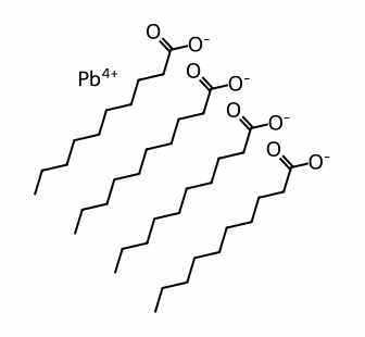 CCCCCCCCCC(=O)[O-].CCCCCCCCCC(=O)[O-].CCCCCCCCCC(=O)[O-].CCCCCCCCCC(=O)[O-].[Pb+4]